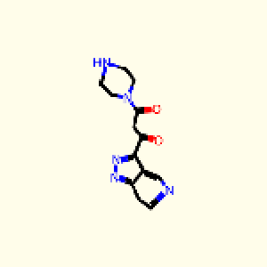 O=C(CC(=O)N1CCNCC1)C1=NN=C2CC=NC=C21